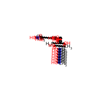 CCCCCCCCCCC=CC(=O)O.CCCCCCCCCCCC(=O)O.CCCCCCCCCCCC(C(=O)O)C(=O)O.CN(C)CCO.CN(C)CCO.CN(C)CCO.CN(C)CCO.CN(C)CCO.CN(C)CCO.CN(C)CCO.O=C(O)C1=CCCCC1.O=C(O)C1CCCCC1.Oc1ccccc1